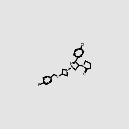 O=C1CCCN1C1CN(N2CC(OCc3ccc(F)cc3)C2)N=C1c1ccc(Cl)cc1